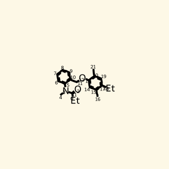 CCC(=O)N(C)c1ccccc1COc1cc(C)c(CC)cc1C